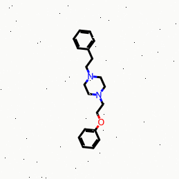 c1ccc(CCN2CCN(CCOc3ccccc3)CC2)cc1